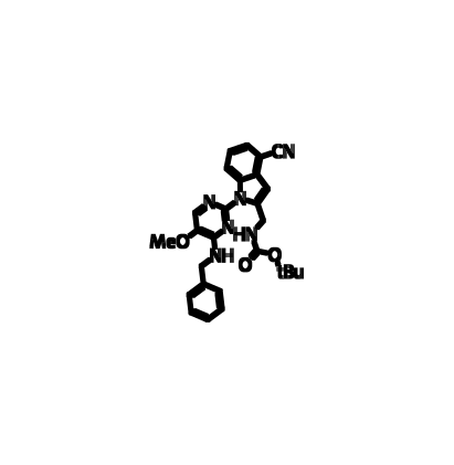 COc1cnc(-n2c(CNC(=O)OC(C)(C)C)cc3c(C#N)cccc32)nc1NCc1ccccc1